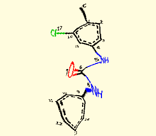 Cc1ccc(NC(=O)Nc2ccccc2)cc1Cl